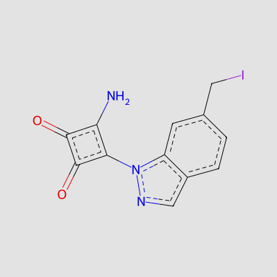 Nc1c(-n2ncc3ccc(CI)cc32)c(=O)c1=O